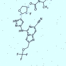 CC(C)NC(=O)O[C@H]1CO[C@@H](c2cc(Nc3nc(C#N)cc4nc(COC(F)(F)F)cn34)n[nH]2)[C@H]1F